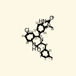 Cc1cccc(CC2N=C(c3ccc4[nH]c(=O)n(C)c4c3)c3cc(Cl)ccc3NC2=O)c1